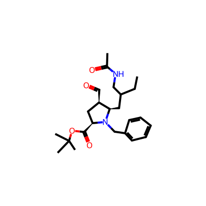 CCC(CNC(C)=O)C[C@@H]1[C@H](C=O)C[C@H](C(=O)OC(C)(C)C)N1Cc1ccccc1